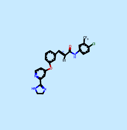 CC/C(=C\c1cccc(Oc2ccnc(C3=NCCN3)c2)c1)C(=O)Nc1ccc(Cl)c(C(F)(F)F)c1